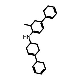 CC1CC(C2=CC=CCC2)=CC=C1NC1CC=C(C2C=CC=CC2)CC1